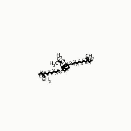 C=C(C)C(=O)OC12CC3CC(OCCCCCCCC4(CC)CCO4)(CC(OCCCCCCCC4(CC)CCO4)(C3)C1)C2